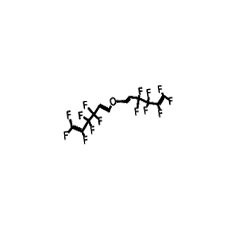 FC(F)=C(F)C(F)(F)C(F)(F)C=COC=CC(F)(F)C(F)(F)C(F)=C(F)F